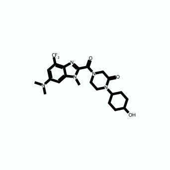 CN(C)c1cc(C(F)(F)F)c2nc(C(=O)N3CCN(C4CCC(O)CC4)C(=O)C3)n(C)c2c1